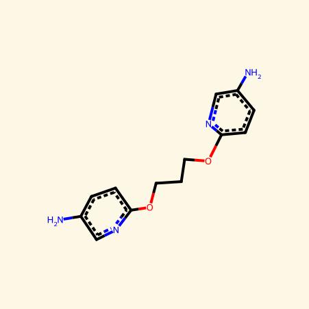 Nc1ccc(OCCCOc2ccc(N)cn2)nc1